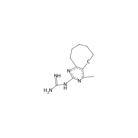 Cc1nc(NC(=N)N)nc2c1CCCCCC2